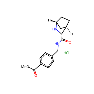 COC(=O)c1ccc(CNC(=O)[C@@H]2N[C@@H]3CC[C@@H]2C3)cc1.Cl